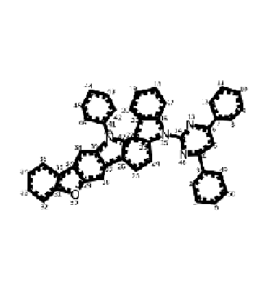 c1ccc(-c2cc(-c3ccccc3)nc(-n3c4ccccc4c4c3ccc3c5cc6oc7ccccc7c6cc5n(-c5ccccc5)c34)n2)cc1